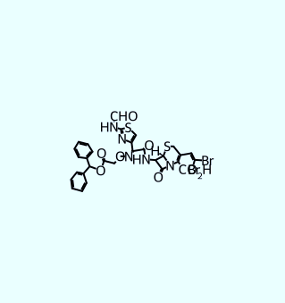 O=CNc1nc(C(=NOCC(=O)OC(c2ccccc2)c2ccccc2)C(=O)NC2C(=O)N3C(C(=O)O)=C(C=C(Br)Br)CS[C@@H]23)cs1